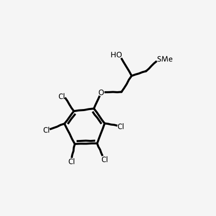 CSCC(O)COc1c(Cl)c(Cl)c(Cl)c(Cl)c1Cl